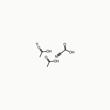 CC(=O)O.CC(=O)O.N#CC(=O)O.[Ti]